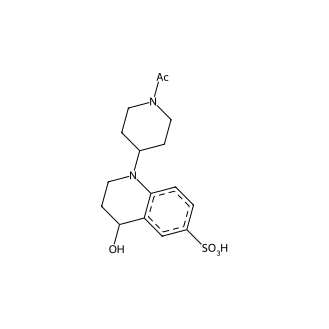 CC(=O)N1CCC(N2CCC(O)c3cc(S(=O)(=O)O)ccc32)CC1